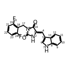 O=C1NC(=Cc2c[nH]c3ccccc23)C(=O)N1Cc1c(F)cccc1F